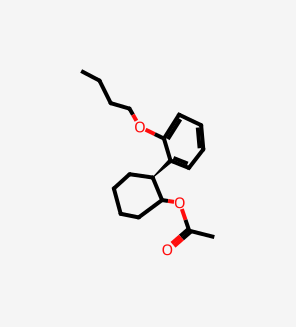 CCCCOc1ccccc1[C@@H]1CCCCC1OC(C)=O